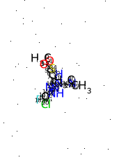 COC(=O)c1cc2cc(-c3cnc(Nc4ccc(F)c(Cl)c4)nc3NCCCN(C)C)ccc2s1